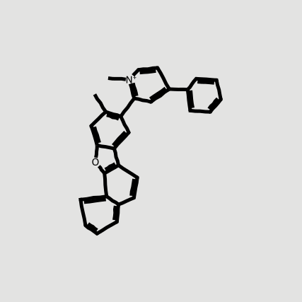 Cc1cc2oc3c4ccccc4ccc3c2cc1-c1cc(-c2ccccc2)cc[n+]1C